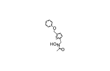 CC(=O)N(O)Cc1ccc(COc2ccccc2)s1